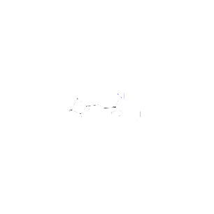 N[C@H](CCC1CCC1)C(=O)O